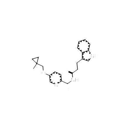 C[C@@H](NC(=O)CCc1c[nH]c2ccccc12)c1ccc(OCC2(C)CC2)cn1